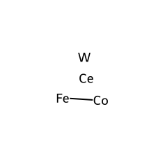 [Ce].[Fe][Co].[W]